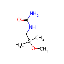 CO[Si](C)(C)CNC(N)=O